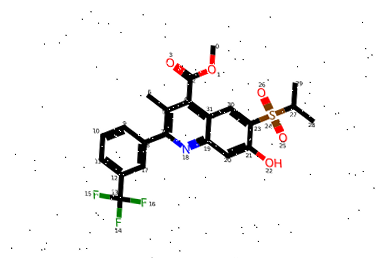 COC(=O)c1c(C)c(-c2cccc(C(F)(F)F)c2)nc2cc(O)c(S(=O)(=O)C(C)C)cc12